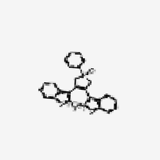 Cc1sc2ccccc2c1C1=C(c2c(C)sc3ccccc23)CP(=O)(c2ccccc2)C1